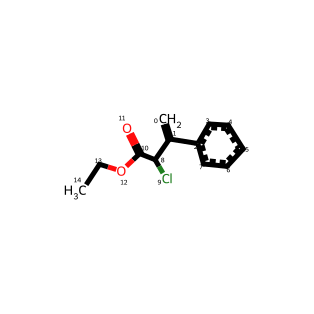 C=C(c1ccccc1)C(Cl)C(=O)OCC